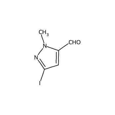 Cn1nc(I)cc1C=O